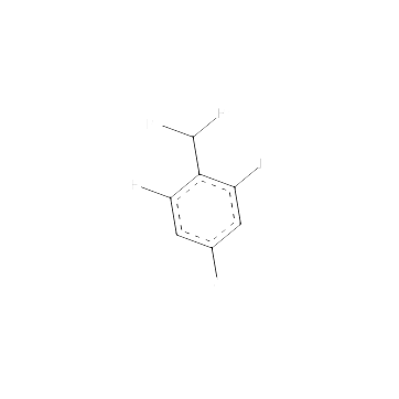 Fc1cc(Cl)cc(F)c1C(Br)Br